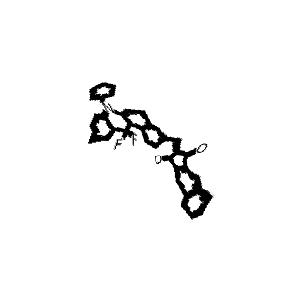 O=C1C(=Cc2ccc3c4c(ccc3c2)N(c2ccccc2)c2ccccc2C4(F)F)C(=O)c2cc3ccccc3cc21